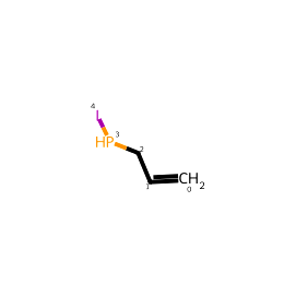 C=CCPI